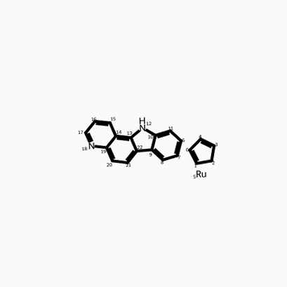 C1=CCC=C1.[Ru].c1ccc2c(c1)[nH]c1c3cccnc3ccc21